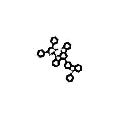 CN1C(n2c3ccccc3c3c(-c4ccc5c(c4)c4ccccc4n5-c4ccccc4)cc4c5ccccc5oc4c32)=NC(c2ccccc2)=CC1c1ccccc1